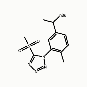 CCCCC(C)c1ccc(C)c(-n2nnnc2S(C)(=O)=O)c1